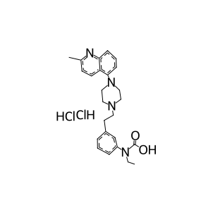 CCN(C(=O)O)c1cccc(CCN2CCN(c3cccc4nc(C)ccc34)CC2)c1.Cl.Cl